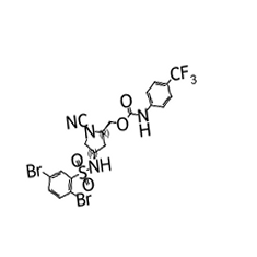 N#CN1C[C@H](NS(=O)(=O)c2cc(Br)ccc2Br)C[C@@H]1COC(=O)Nc1ccc(C(F)(F)F)cc1